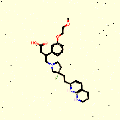 COCCOc1cccc(C(CC(=O)O)CN2CC[C@@](F)(CCC3C=CC4=C(NCCC4)N3)C2)c1